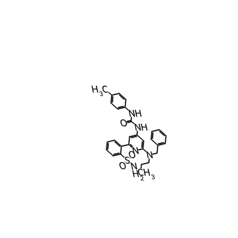 CCCN(Cc1ccccc1)c1cc(NC(=O)Nc2ccc(C)cc2)cc(-c2ccccc2S(N)(=O)=O)n1